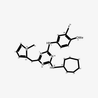 COc1ccc(Nc2nc(Cc3cccn3C)nc(NC3CCCCCC3)n2)cc1F